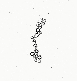 O=C1CC[C@H](N2Cc3c(ccc4c3OCC43CCN(C(=O)C4CN(C5CCN(c6ccc7c(c6)C6(CCCCC6)c6nc(=O)c8c(Cl)cccc8n6-7)CC5)C4)CC3)C2=O)C(=O)N1